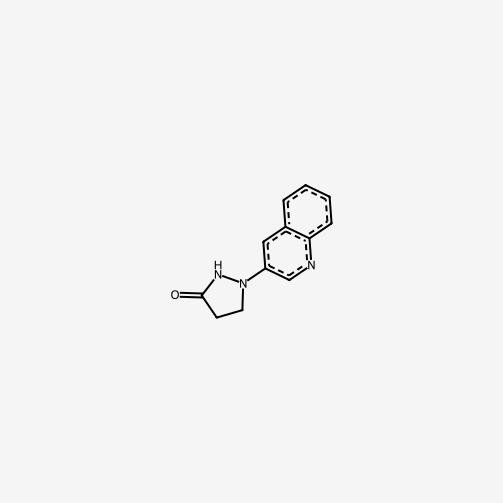 O=C1CCN(c2cnc3ccccc3c2)N1